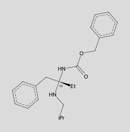 CC[C@](Cc1ccccc1)(NCC(C)C)NC(=O)OCc1ccccc1